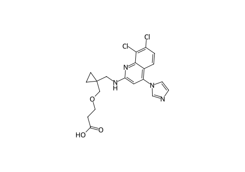 O=C(O)CCOCC1(CNc2cc(-n3ccnc3)c3ccc(Cl)c(Cl)c3n2)CC1